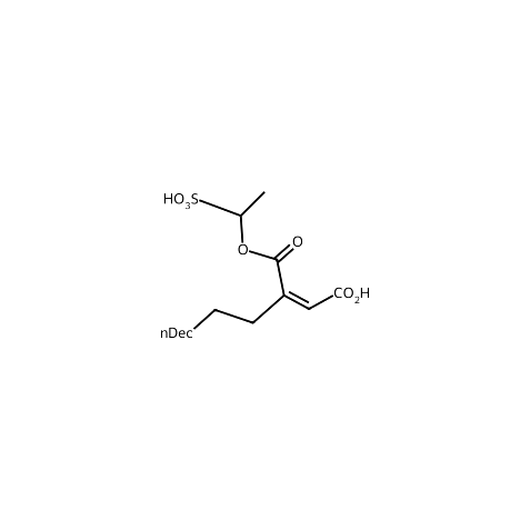 CCCCCCCCCCCCC(=CC(=O)O)C(=O)OC(C)S(=O)(=O)O